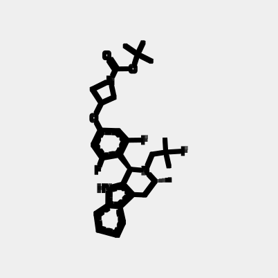 C[C@@H]1Cc2c([nH]c3ccccc23)[C@@H](c2c(F)cc(OC3CN(C(=O)OC(C)(C)C)C3)cc2F)N1CC(C)(C)F